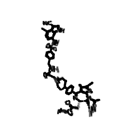 COC(=O)C[C@@H]1N=C(c2ccc(C3=CCN(C(=O)NCc4ccc(S(=O)(=O)Nc5ccc(C)c6c(C#N)c[nH]c56)cc4)CC3)cc2)c2c(sc(C)c2C)-n2c(C)nnc21